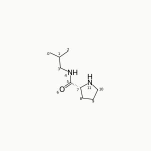 CC(C)CNC(=O)[C@H]1CCCN1